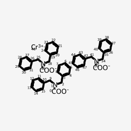 O=C([O-])N(Cc1ccccc1)Cc1ccccc1.O=C([O-])N(Cc1ccccc1)Cc1ccccc1.O=C([O-])N(Cc1ccccc1)Cc1ccccc1.[Cr+3]